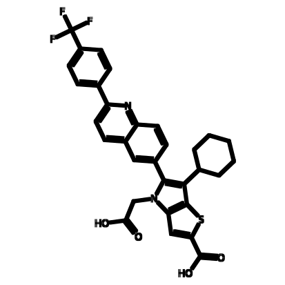 O=C(O)Cn1c(-c2ccc3nc(-c4ccc(C(F)(F)F)cc4)ccc3c2)c(C2CCCCC2)c2sc(C(=O)O)cc21